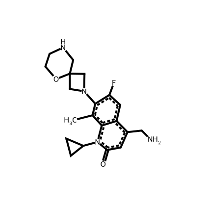 Cc1c(N2CC3(CNCCO3)C2)c(F)cc2c(CN)cc(=O)n(C3CC3)c12